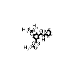 CC(=O)OC(=O)c1cc(OC(C)C)cc(C(=O)Nc2ccccn2)c1